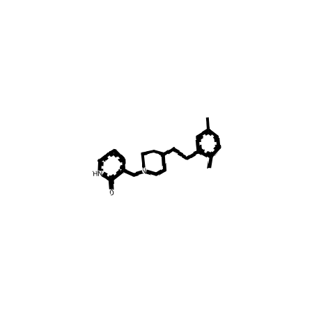 Cc1ccc(C)c(CCC2CCN(Cc3ccc[nH]c3=O)CC2)c1